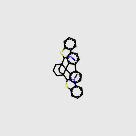 CN1c2ccccc2SC1C12CCCC(C3Sc4ccccc4N3C)(CC1)C21c2ccccc2-c2ccccc21